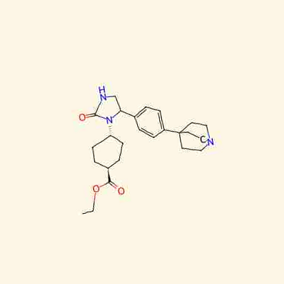 CCOC(=O)[C@H]1CC[C@H](N2C(=O)NCC2c2ccc(C34CCN(CC3)CC4)cc2)CC1